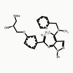 C=C(/N=C1\C(=C(/C)N(C)Cc2ccccn2)C=NN1C(C)C)c1cccc(OC[C@H](CNC)N=O)c1